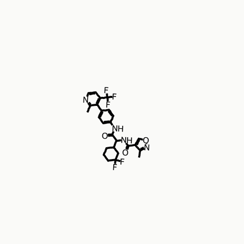 Cc1nocc1C(=O)NC(C(=O)Nc1ccc(-c2c(C(F)(F)F)ccnc2C)cc1)C1CCCC(F)(F)C1